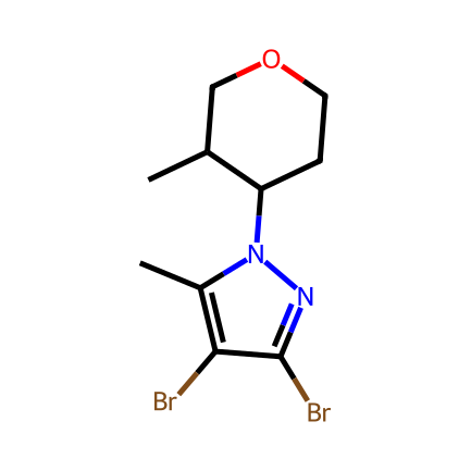 Cc1c(Br)c(Br)nn1C1CCOCC1C